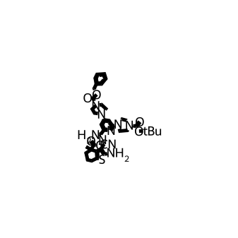 CC(C)(C)OC(=O)N1CCN(c2cc(N3CCN(C(=O)OCc4ccccc4)CC3)cc(/C(N)=N/OC(=O)C3(C)CCCc4sc(N)c(C#N)c43)n2)CC1